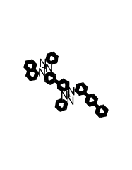 c1ccc(-c2ccc(-c3cccc(-n4c5ccc(-c6ccc7c(c6)n6c8ccccc8nc6n7-c6cccc7ccccc67)cc5n5c6ccccc6nc45)c3)cc2)cc1